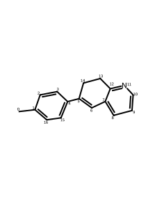 Cc1ccc(C2=Cc3cccnc3CC2)cc1